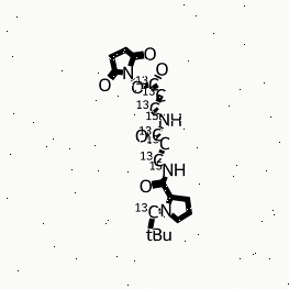 CC(C)(C)[13CH2]N1CCCC1C(=O)[15NH][13CH2][13CH2][13C](=O)[15NH][13CH2][13CH2][13C](=O)ON1C(=O)CCC1=O